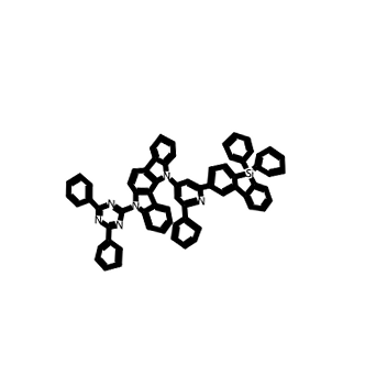 c1ccc(-c2cc(-n3c4ccccc4c4ccc5c(c6ccccc6n5-c5nc(-c6ccccc6)nc(-c6ccccc6)n5)c43)cc(-c3ccc4c(c3)-c3ccccc3[Si]4(c3ccccc3)c3ccccc3)n2)cc1